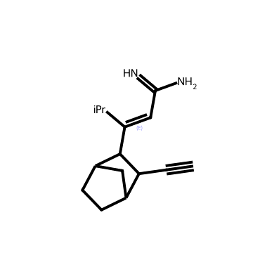 C#CC1C2CCC(C2)C1/C(=C/C(=N)N)C(C)C